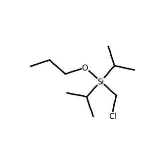 CCCO[Si](CCl)(C(C)C)C(C)C